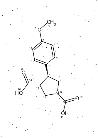 COc1ccc([C@H]2CN(C(=O)O)C[C@@H]2C(=O)O)cc1